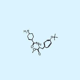 COC(=O)C(Cc1ccc(OC(C)(C)C)cc1)NC(=O)C1CCC(N)CC1